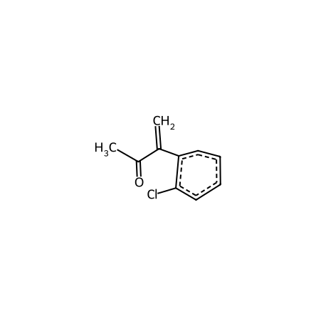 C=C(C(C)=O)c1ccccc1Cl